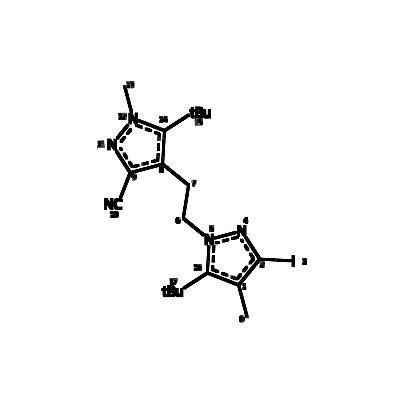 Cc1c(I)nn(CCc2c(C#N)nn(C)c2C(C)(C)C)c1C(C)(C)C